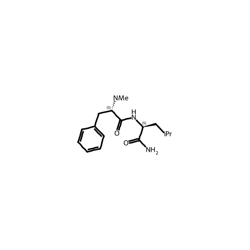 CN[C@@H](Cc1ccccc1)C(=O)N[C@@H](CC(C)C)C(N)=O